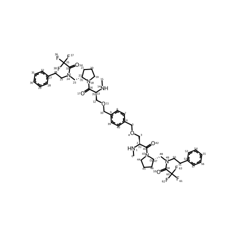 CN[C@@H](COCc1ccc(COC[C@H](NC)C(=O)N2CCC[C@H]2CN(CCc2ccccc2)C(=O)C(F)(F)F)cc1)C(=O)N1CCC[C@H]1CN(CCc1ccccc1)C(=O)C(F)(F)F